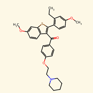 CCc1cc(OC)ccc1-c1sc2cc(OC)ccc2c1C(=O)c1ccc(OCCN2CCCCC2)cc1